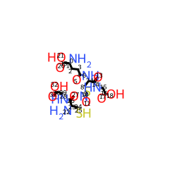 NC(CCC(=O)NC(CSN=O)C(=O)NCC(=O)O)C(=O)O.NC(CS)C(=O)NCC(=O)O